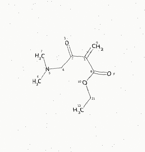 C=C(C(=O)CN(C)C)C(=O)OCC